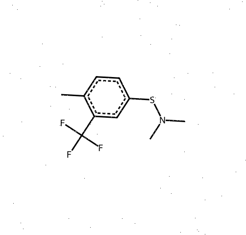 Cc1ccc(SN(C)C)cc1C(F)(F)F